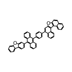 c1ccc2c(c1)ccc1oc3cc(-c4ccc(-c5c6ccccc6c(-c6ccc7c(c6)oc6ccccc67)c6ccccc56)cc4)c4ccccc4c3c12